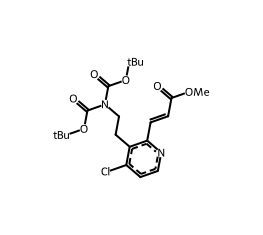 COC(=O)C=Cc1nccc(Cl)c1CCN(C(=O)OC(C)(C)C)C(=O)OC(C)(C)C